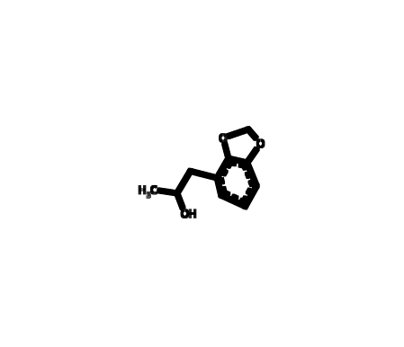 CC(O)Cc1cccc2c1OCO2